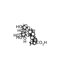 C=C(C)[C@@H]1CC[C@]2(C(=O)O)CC[C@]3(C)[C@H](CC[C@@H]4[C@@]5(C)CC[C@H](O[C@@H]6O[C@@H](C)[C@H](O)[C@@H](O)[C@H]6O[C@@H]6O[C@H](CO)[C@@H](O)[C@H](O)[C@H]6O)C(C)(C)[C@@H]5CC[C@]43C)[C@@H]12